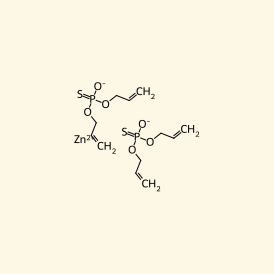 C=CCOP([O-])(=S)OCC=C.C=CCOP([O-])(=S)OCC=C.[Zn+2]